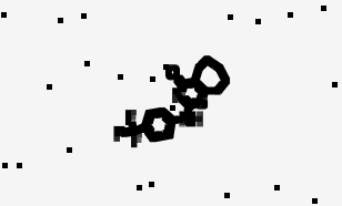 O=c1nc(Nc2ccc(C(F)(F)F)cc2)sc2c1CCCCC2